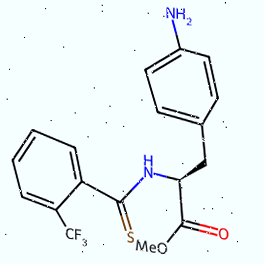 COC(=O)[C@H](Cc1ccc(N)cc1)NC(=S)c1ccccc1C(F)(F)F